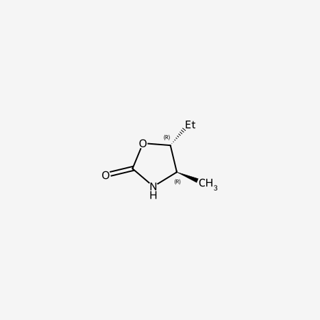 CC[C@H]1OC(=O)N[C@@H]1C